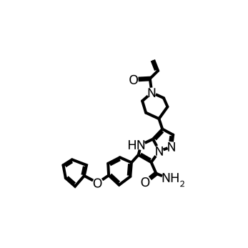 C=CC(=O)N1CCC(c2cnn3c(C(N)=O)c(-c4ccc(Oc5ccccc5)cc4)[nH]c23)CC1